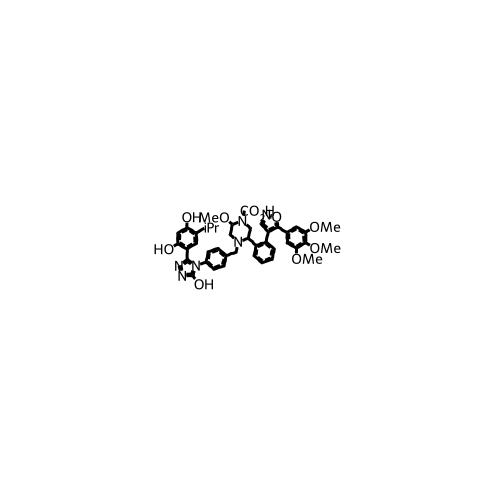 COc1cc(-c2oncc2-c2ccccc2C2CN(C(=O)O)C(OC)CN2Cc2ccc(-n3c(O)nnc3-c3cc(C(C)C)c(O)cc3O)cc2)cc(OC)c1OC